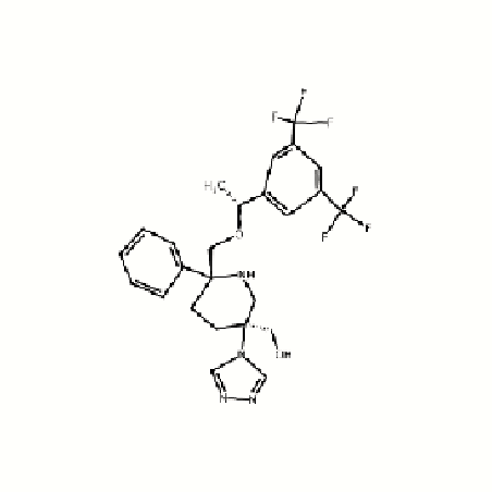 C[C@@H](OC[C@]1(c2ccccc2)CC[C@](CO)(n2cnnc2)CN1)c1cc(C(F)(F)F)cc(C(F)(F)F)c1